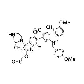 COc1ccc(CN(Cc2ccc(OC)cc2)c2cc(C)c(C(F)(F)F)c(-c3c(Cl)cc4c(N5CCNC[C@@H]5C)nc(OCC=O)nc4c3F)n2)cc1